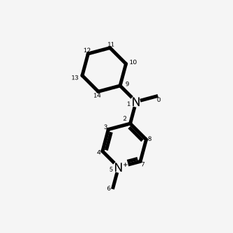 CN(c1cc[n+](C)cc1)C1CCCCC1